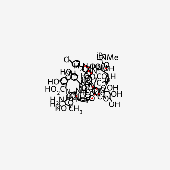 CN[C@H](CC(C)C)C(=O)N[C@@H]1C(=O)NC(CC(N)=O)C(=O)NC2C(=O)NC3C(=O)N[C@H](C(=O)NC(C(=O)O)c4cc(O)cc(O)c4-c4cc3ccc4O)[C@H](OC3CC(C)(N)C(O)C(C)O3)c3ccc(c(Cl)c3)Oc3cc2cc(c3OC2OC(CO)C(O)C(O)C2OC2CC(C)(NCC(OCc3ccc(-c4ccc(Cl)cc4)cc3)C(=O)O)C(O)C(C)O2)Oc2ccc(cc2Cl)C1O